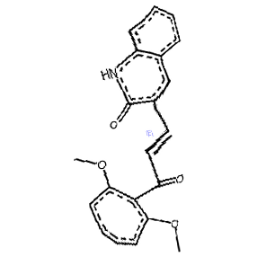 COc1cccc(OC)c1C(=O)/C=C/c1cc2ccccc2[nH]c1=O